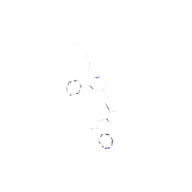 C/C(=C\NC1CN=C(CCCCC(=O)O)C(c2ccccc2)=N1)C(=O)NC(C)c1ccncc1